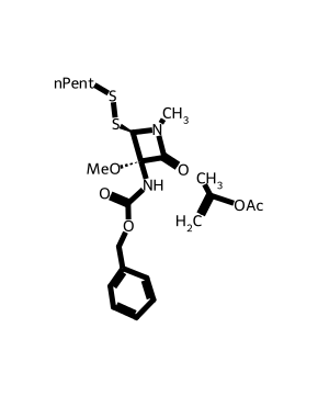 C=C(C)OC(C)=O.CCCCCSS[C@H]1N(C)C(=O)[C@]1(NC(=O)OCc1ccccc1)OC